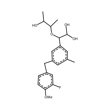 COc1ccc(Cc2cc(C)cc(C(OC(C)C(C)O)C(O)O)c2)cc1F